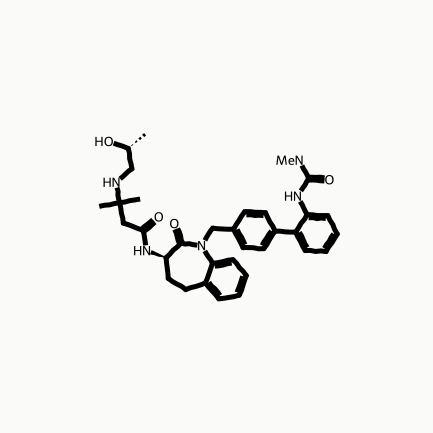 CNC(=O)Nc1ccccc1-c1ccc(CN2C(=O)[C@H](NC(=O)CC(C)(C)NC[C@@H](C)O)CCc3ccccc32)cc1